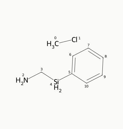 CCl.NC[SiH2]c1ccccc1